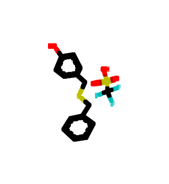 O=S(=O)(O)C(F)(F)F.Oc1ccc(CSCc2ccccc2)cc1